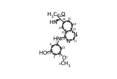 COc1cc(O)cc(Nc2ncnc3ccc(S(C)(=N)=O)cc23)c1